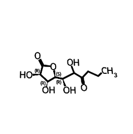 CCCC(=O)C(O)[C@@H](O)[C@@H]1OC(=O)[C@H](O)[C@H]1O